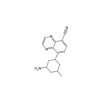 CC1CC(N)CC(c2ccc(C#N)c3nccnc23)C1